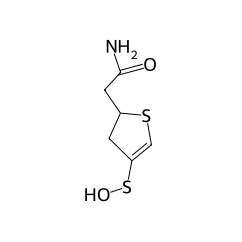 NC(=O)CC1CC(SO)=CS1